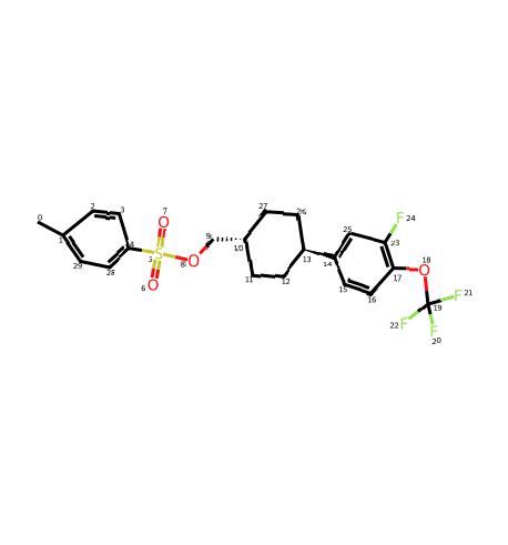 Cc1ccc(S(=O)(=O)OC[C@H]2CC[C@H](c3ccc(OC(F)(F)F)c(F)c3)CC2)cc1